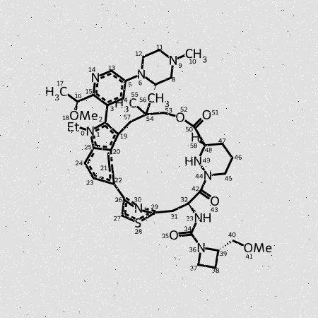 CCn1c(-c2cc(N3CCN(C)CC3)cnc2[C@H](C)OC)c2c3cc(ccc31)-c1csc(n1)C[C@H](NC(=O)N1CC[C@H]1COC)C(=O)N1CCC[C@H](N1)C(=O)OCC(C)(C)C2